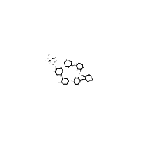 CC1(C)OB(c2ccc(-c3cccc(-c4ccc5c6ccccc6n(-c6cccc(-c7ccccc7)c6)c5c4)c3)cc2)OC1(C)C